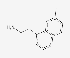 Cc1ccc2cccc(CCN)c2c1